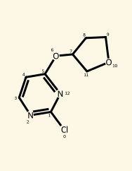 Clc1nccc(OC2CCOC2)n1